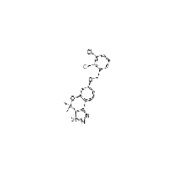 CC1(C)Oc2cc(OCc3cccc(Cl)c3Cl)ccc2-c2nn[se]c21